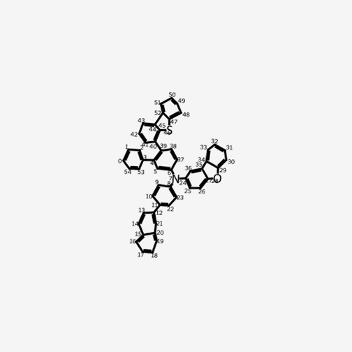 c1ccc(-c2cc(N(c3ccc(-c4ccc5ccccc5c4)cc3)c3ccc4oc5ccccc5c4c3)ccc2-c2cccc3c2sc2ccccc23)cc1